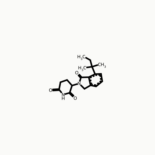 CCC(C)(C)c1cccc2c1C(=O)N(C1CCC(=O)NC1=O)C2